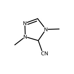 CN1C=NN(C)C1C#N